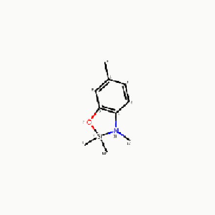 Cc1ccc2c(c1)O[Si](C)(C)N2C